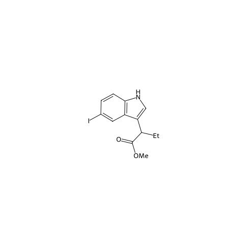 CCC(C(=O)OC)c1c[nH]c2ccc(I)cc12